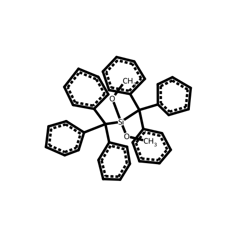 CO[Si](OC)(C(c1ccccc1)(c1ccccc1)c1ccccc1)C(c1ccccc1)(c1ccccc1)c1ccccc1